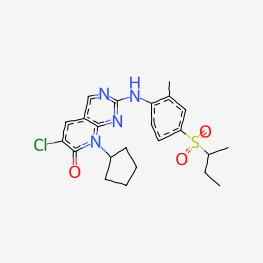 CCC(C)S(=O)(=O)c1ccc(Nc2ncc3cc(Cl)c(=O)n(C4CCCC4)c3n2)c(C)c1